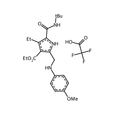 CCOC(=O)c1c(CNc2ccc(OC)cc2)[nH]c(C(=O)NC(C)(C)C)c1CC.O=C(O)C(F)(F)F